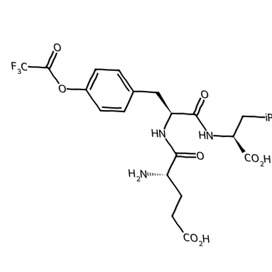 CC(C)C[C@H](NC(=O)[C@H](Cc1ccc(OC(=O)C(F)(F)F)cc1)NC(=O)[C@@H](N)CCC(=O)O)C(=O)O